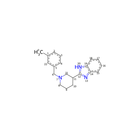 Cc1cccc(CN2CCCC(c3nc4ccccc4[nH]3)C2)c1